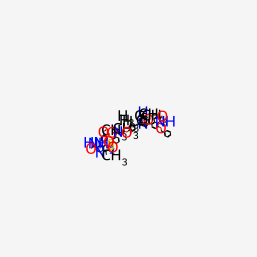 COc1cccc(Nc2c(C(N)=O)cnc3c(C)cc(S(=O)(=O)c4cccc(C(=O)N(C)CCOc5ccc(CCNCC(O[Si](C)(C)C(C)(C)C)c6ccc(OCc7ccccc7)c7[nH]c(=O)ccc67)cc5)c4)cc23)c1